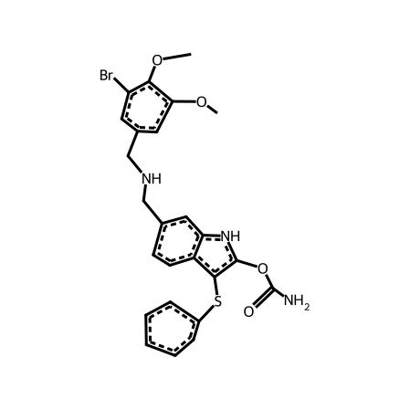 COc1cc(CNCc2ccc3c(Sc4ccccc4)c(OC(N)=O)[nH]c3c2)cc(Br)c1OC